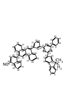 CC1(C)c2ccccc2-c2ccc(-c3nc(-c4ccccc4)nc(-c4cccc(-c5cc6c7ccccc7c(-c7ccc(C#N)c8ccccc78)cc6c6ccccc56)c4)n3)cc21